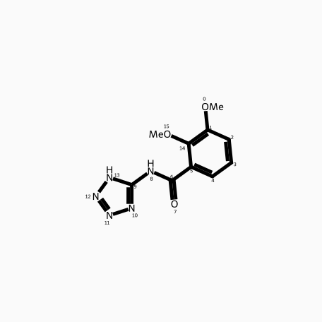 COc1cccc(C(=O)Nc2nnn[nH]2)c1OC